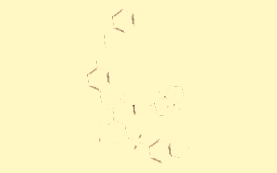 CC(C)CN(C[C@@H](O)[C@H](Cc1ccc(OCCc2ccccc2)cc1)NC(=O)O[C@H]1CO[C@H]2OCC[C@H]21)S(=O)(=O)c1ccc2c(c1)OCO2